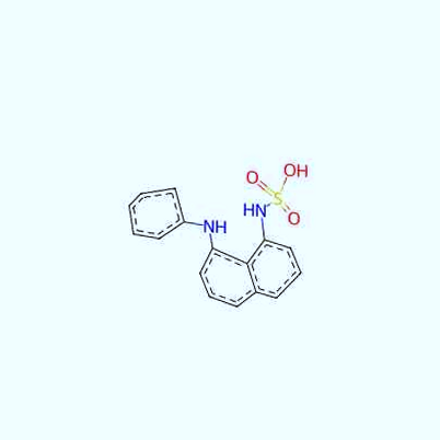 O=S(=O)(O)Nc1cccc2cccc(Nc3ccccc3)c12